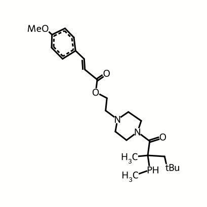 COc1ccc(/C=C/C(=O)OCCN2CCN(C(=O)C(C)(CC(C)(C)C)PC)CC2)cc1